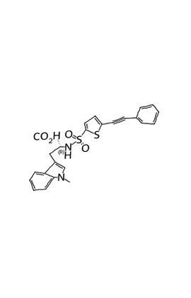 Cn1cc(C[C@@H](NS(=O)(=O)c2ccc(C#Cc3ccccc3)s2)C(=O)O)c2ccccc21